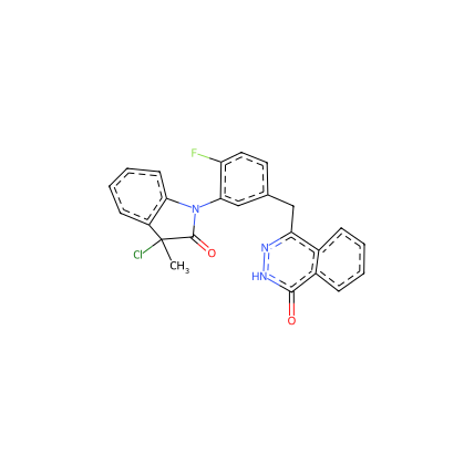 CC1(Cl)C(=O)N(c2cc(Cc3n[nH]c(=O)c4ccccc34)ccc2F)c2ccccc21